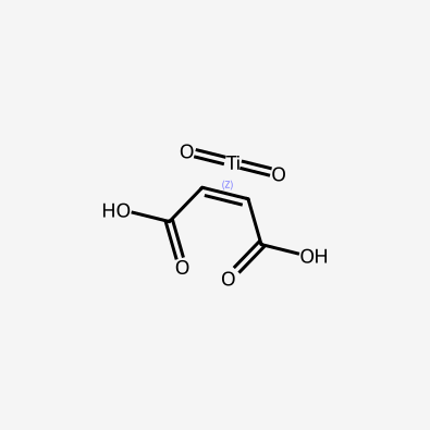 O=C(O)/C=C\C(=O)O.[O]=[Ti]=[O]